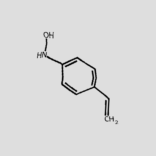 C=Cc1ccc(NO)cc1